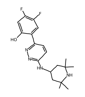 CC1(C)CC(Nc2ccc(-c3cc(F)c(F)cc3O)nn2)CC(C)(C)N1